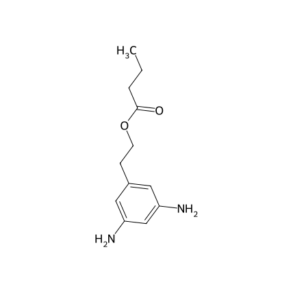 CCCC(=O)OCCc1cc(N)cc(N)c1